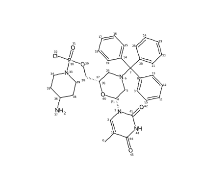 Cc1cn([C@H]2CN(C(c3ccccc3)(c3ccccc3)c3ccccc3)C[C@@H](COP(=O)(Cl)N3CCC(N)CC3)O2)c(=O)[nH]c1=O